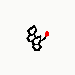 O=Cc1cc2c3ccccc3ccc2c2ccccc12